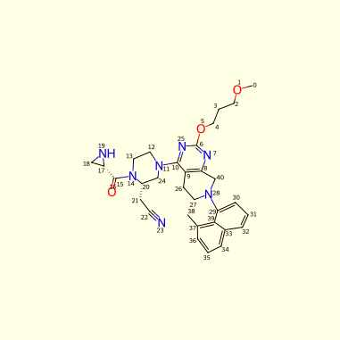 COCCCOc1nc2c(c(N3CCN(C(=O)[C@@H]4CN4)[C@@H](CC#N)C3)n1)CCN(c1cccc3cccc(C)c13)C2